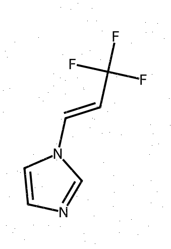 FC(F)(F)/C=C/n1ccnc1